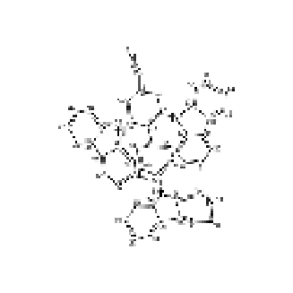 N#Cc1cc(-n2c3ccccc3c3ccncc32)c(-c2ccc(-n3c4ccccc4c4ccncc43)cc2)c(-n2c3ccccc3c3ccncc32)c1